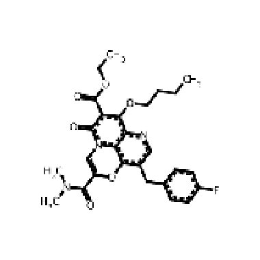 CCCCOc1c(C(=O)OCC)c(=O)n2c3c(c(Cc4ccc(F)cc4)cnc13)OC(C(=O)N(C)C)=C2